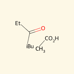 CC(=O)O.CCC(=O)C(C)CC